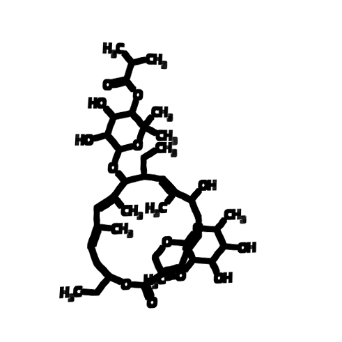 CCC1C/C=C(C)/C=C(\C)C(OC2OC(C)(C)C(OC(=O)C(C)C)C(O)C2O)C(CC)/C=C(\C)C(O)C/C=C/C=C(\COC2OC(C)C(O)C(O)C2OC)C(=O)O1